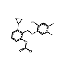 CCC(=O)Oc1cccc(C2CC2)c1COc1cc(C)c(C)cc1Br